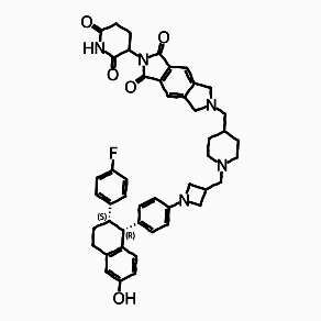 O=C1CCC(N2C(=O)c3cc4c(cc3C2=O)CN(CC2CCN(CC3CN(c5ccc([C@@H]6c7ccc(O)cc7CC[C@@H]6c6ccc(F)cc6)cc5)C3)CC2)C4)C(=O)N1